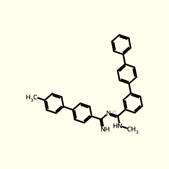 CN/C(=N\C(=N)c1ccc(-c2ccc(C)cc2)cc1)c1cccc(-c2ccc(-c3ccccc3)cc2)c1